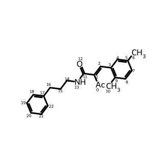 CC(=O)C(=Cc1cc(C)ccc1C)C(=O)NCCCc1ccccc1